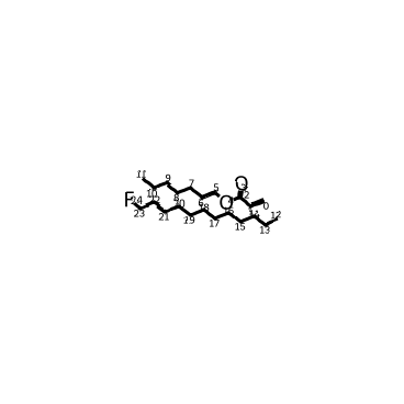 C=CC(=O)OCCCCCCC.CCCCCCCCCCCCF